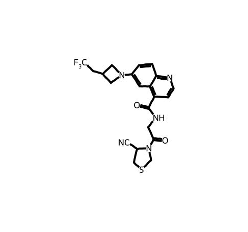 N#CC1CSCN1C(=O)CNC(=O)c1ccnc2ccc(N3CC(CC(F)(F)F)C3)cc12